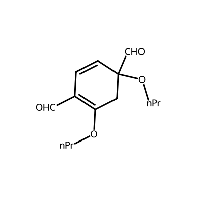 CCCOC1=C(C=O)C=CC(C=O)(OCCC)C1